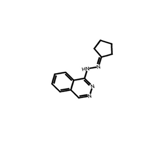 c1ccc2c(NN=C3CCCC3)nncc2c1